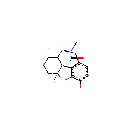 CO[C@@]12CCC[C@H]3Oc4c(O)ccc5c4[C@@]31CC(=O)N(C)[C@@H]2C5